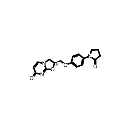 O=C1CCCN1c1ccc(OC[C@@H]2Cn3ccc(=O)nc3O2)cc1